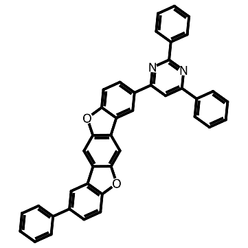 c1ccc(-c2ccc3oc4cc5c(cc4c3c2)oc2ccc(-c3cc(-c4ccccc4)nc(-c4ccccc4)n3)cc25)cc1